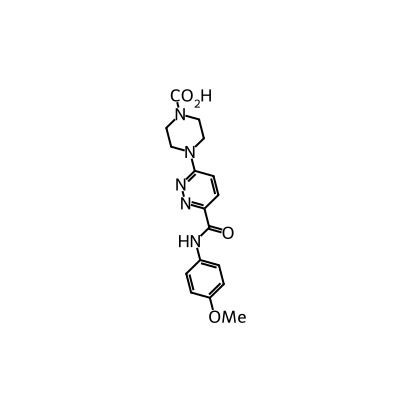 COc1ccc(NC(=O)c2ccc(N3CCN(C(=O)O)CC3)nn2)cc1